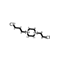 ClCCCN1CCN(CCCl)CC1